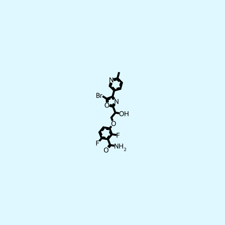 Cc1ccc(-c2nc(C(O)COc3ccc(F)c(C(N)=O)c3F)oc2Br)cn1